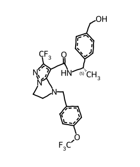 C[C@H](NC(=O)c1c(C(F)(F)F)nn2c1N(Cc1ccc(OC(F)(F)F)cc1)CC2)c1ccc(CO)cc1